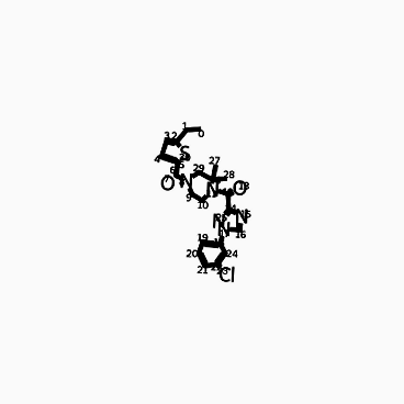 CCc1ccc(C(=O)N2CCN(C(=O)c3ncn(-c4cccc(Cl)c4)n3)C(C)(C)C2)s1